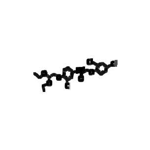 CCOC(COc1ccc(NC(=O)COc2ccc(Cl)cc2Cl)cc1Cl)OCC